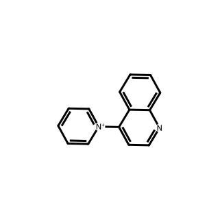 c1cc[n+](-c2ccnc3ccccc23)cc1